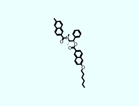 CCCCCCOc1ccc2cc(C(=O)O[C@H](c3ccccc3)[C@H](C)N(C)C(=O)c3ccc4cc(C)ccc4c3)ccc2c1